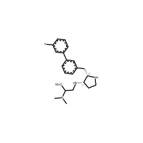 COC(CN[C@H]1CCN[C@H]1Cc1cccc(-c2cccc(F)c2)c1)N(C)C